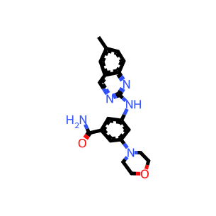 Cc1ccc2nc(Nc3cc(C(N)=O)cc(N4CCOCC4)c3)ncc2c1